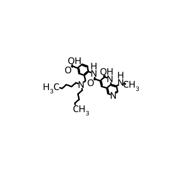 CCCCCN(CCCCC)Cc1cc(C(=O)O)ccc1NC(=O)c1cc2cncc(NC)c2[nH]c1=O